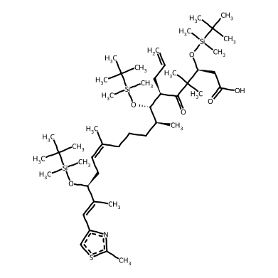 C=CC[C@@H](C(=O)C(C)(C)[C@H](CC(=O)O)O[Si](C)(C)C(C)(C)C)[C@@H](O[Si](C)(C)C(C)(C)C)[C@@H](C)CCC/C(C)=C\C[C@H](O[Si](C)(C)C(C)(C)C)/C(C)=C/c1csc(C)n1